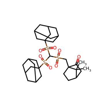 CC1(C)C2CCC1(CS(=O)(=O)C(S(=O)(=O)C13CC4CC(CC(C4)C1)C3)S(=O)(=O)C13CC4CC(CC(C4)C1)C3)C(=O)C2